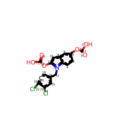 O=C(O)Oc1ccc2c(c1)cc(OC(=O)O)n2Cc1ccc(Cl)c(Cl)c1